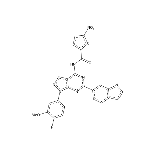 COc1cc(-n2ncc3c(NC(=O)c4ccc([N+](=O)[O-])s4)nc(-c4ccc5scnc5c4)nc32)ccc1F